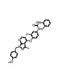 COc1ccc(Cn2nc(C)c3c(Oc4ccc(N5Cc6ccccc6NC5=O)cc4F)ccnc32)cc1